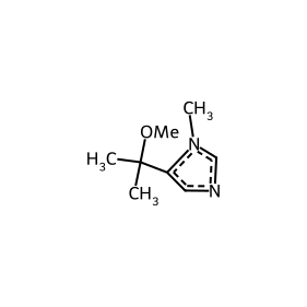 COC(C)(C)c1cncn1C